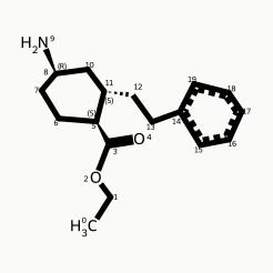 CCOC(=O)[C@H]1CC[C@@H](N)C[C@@H]1CCc1ccccc1